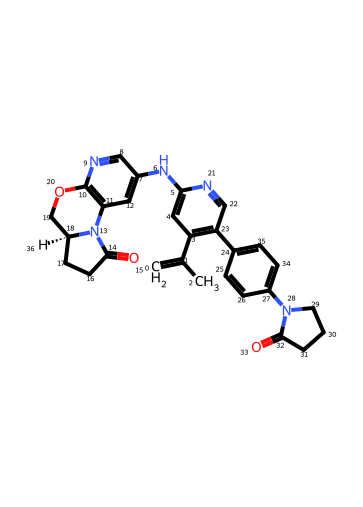 C=C(C)c1cc(Nc2cnc3c(c2)N2C(=O)CC[C@H]2CO3)ncc1-c1ccc(N2CCCC2=O)cc1